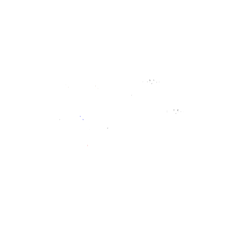 COc1ccc(C(=O)N2CCSC2=S)cc1OC